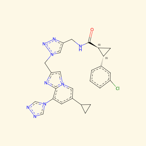 O=C(NCc1cn(Cc2cn3cc(C4CC4)cc(-n4cnnc4)c3n2)nn1)[C@H]1C[C@@H]1c1cccc(Cl)c1